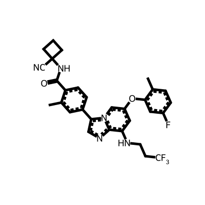 Cc1ccc(F)cc1Oc1cc(NCCC(F)(F)F)c2ncc(-c3ccc(C(=O)NC4(C#N)CCC4)c(C)c3)n2c1